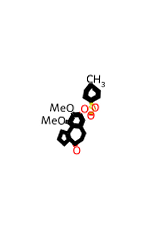 COc1c(OS(=O)(=O)c2ccc(C)cc2)cc2c(c1OC)C1=C(CCC1)C(=O)CC2